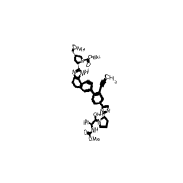 CC#Cc1cc(-c2cnc([C@@H]3CCCN3C(O)[C@@H](NC(=O)OC)C(C)C)[nH]2)ccc1-c1ccc2c(ccc3nc([C@@H]4C[C@H](COC)CN4C(=O)OC(C)(C)C)[nH]c32)c1